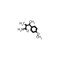 C=C(C(N)=O)C(C)c1ccc(OC)cc1